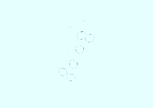 CC1(C)c2cc3c(cc2C(C)(C(F)(F)F)c2cc4c(cc21)-c1cccc2cc(B(O)O)cc-4c12)-c1cccc2cc(B(O)O)cc-3c12